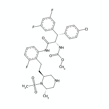 COC(=O)N[C@H](C(=O)Nc1cccc(F)c1CC[C@H]1CNC[C@H](C)N1S(C)(=O)=O)[C@@H](c1ccc(Cl)cc1)c1cc(F)cc(F)c1